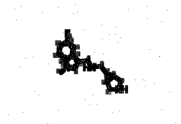 Cn1cc(CNCC2C3CNCC23)c2cc(F)ccc21